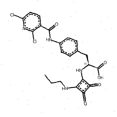 CCCNc1c(N[C@@H](Cc2ccc(NC(=O)c3ccc(Cl)nc3Cl)cc2)C(=O)O)c(=O)c1=O